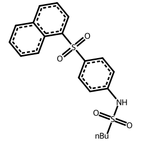 CCCCS(=O)(=O)Nc1ccc(S(=O)(=O)c2cccc3ccccc23)cc1